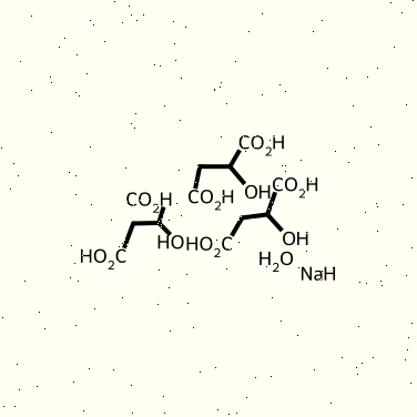 O.O=C(O)CC(O)C(=O)O.O=C(O)CC(O)C(=O)O.O=C(O)CC(O)C(=O)O.[NaH]